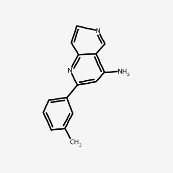 Cc1cccc(-c2cc(N)c3cnccc3n2)c1